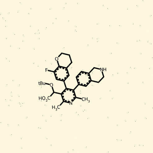 Cc1nc(C)c(C(OC(C)(C)C)C(=O)O)c(-c2cc(F)c3c(c2)CCCO3)c1-c1ccc2c(c1)CCNC2